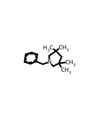 CC1(C)[CH]C(C)(C)CN(Cc2ccccc2)C1